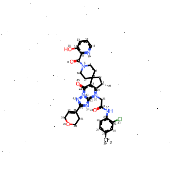 C[C@H]1CC2(CCN(C(=O)c3ncccc3O)CC2)c2c1n(CC(=O)Nc1ccc(C(F)(F)F)cc1Cl)c1nc(C3=CCOCC3)nn1c2=O